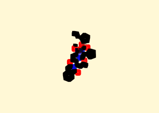 C=CCCn1c(O[C@@H]2C[C@@H](C(=O)OC)N(C(=O)[C@@H](NC(=O)O[C@@H]3CCC[C@H]3CC=C)C3CCCC3)C2)cc2ccccc2c1=O